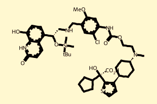 COc1cc(NC(=O)OCCN(C)[C@H]2CC[C@H](c3ccsc3[C@@](O)(C(=O)O)C3CCCC3)CC2)c(Cl)cc1CNC[C@H](O[Si](C)(C)C(C)(C)C)c1ccc(O)c2[nH]c(=O)ccc12